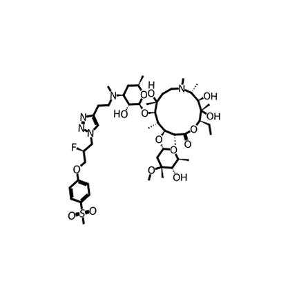 CC[C@H]1OC(=O)[C@H](C)[C@@H](O[C@H]2C[C@@](C)(OC)[C@@H](O)[C@H](C)O2)[C@H](C)[C@@H](O[C@@H]2O[C@H](C)C[C@H](N(C)CCc3cn(C[C@H](F)COc4ccc(S(C)(=O)=O)cc4)nn3)[C@H]2O)[C@](C)(O)CCN(C)[C@H](C)[C@@H](O)[C@]1(C)O